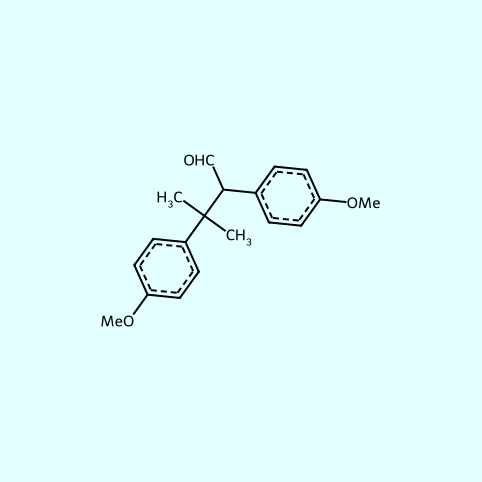 COc1ccc(C(C=O)C(C)(C)c2ccc(OC)cc2)cc1